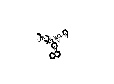 C=CC(=O)N1CCN(c2nc(OC[C@@H]3CCCN3C)nc3c2CCN(c2cccc4ccccc24)C3)C(C)(C)C1